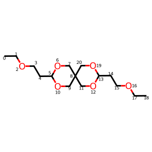 CCOCCC1OCC2(CO1)COC(CCOCC)OC2